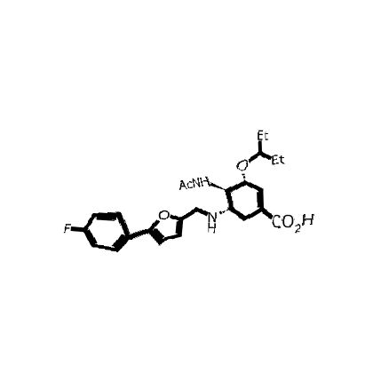 CCC(CC)O[C@@H]1C=C(C(=O)O)C[C@H](NCc2ccc(-c3ccc(F)cc3)o2)[C@H]1NC(C)=O